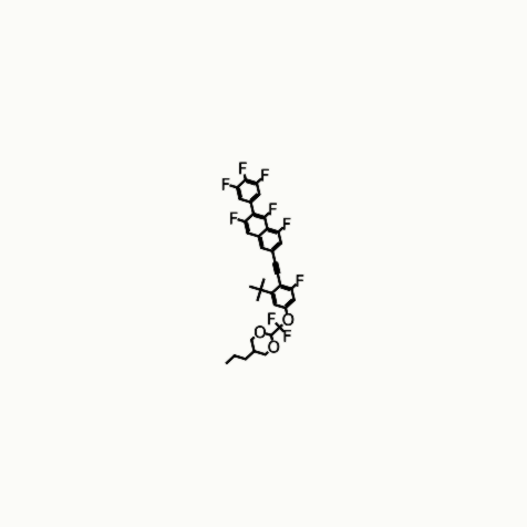 CCCC1COC(C(F)(F)Oc2cc(F)c(C#Cc3cc(F)c4c(F)c(-c5cc(F)c(F)c(F)c5)c(F)cc4c3)c(C(C)(C)C)c2)OC1